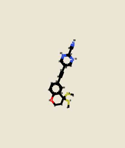 CSC1(SC)CCOc2ccc(C#Cc3cnc(C#N)nc3)cc21